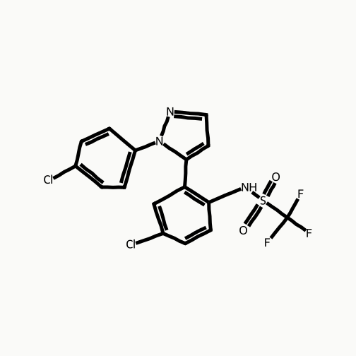 O=S(=O)(Nc1ccc(Cl)cc1-c1ccnn1-c1ccc(Cl)cc1)C(F)(F)F